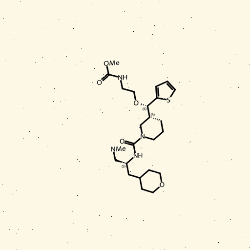 CNC[C@H](CC1CCOCC1)NC(=O)N1CCC[C@@H]([C@H](OCCNC(=O)OC)c2cccs2)C1